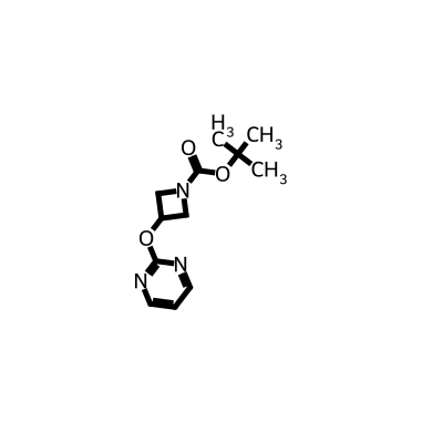 CC(C)(C)OC(=O)N1CC(Oc2ncccn2)C1